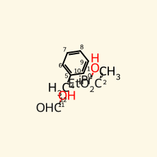 CC(C)O.CCOC(C)=O.Cc1ccccc1.O=CO